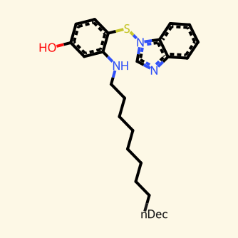 CCCCCCCCCCCCCCCCCCNc1cc(O)ccc1Sn1cnc2ccccc21